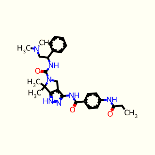 CCC(=O)Nc1ccc(C(=O)Nc2n[nH]c3c2CN(C(=O)NC(CN(C)C)c2ccccc2)C3(C)C)cc1